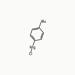 CCC(C)c1cc[c]([Mg][Cl])cc1